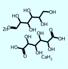 O=C(O)C(O)C(O)C(O)C(O)C(=O)O.O=CC(O)C(O)C(O)C(O)CO.[CaH2].[Zn]